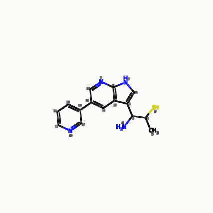 CC(S)C(N)c1c[nH]c2ncc(-c3cccnc3)cc12